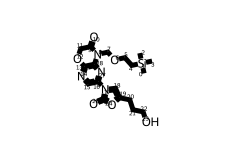 C[Si](C)(C)CCOCN1C(=O)COc2ncc(-n3cc(CCCO)oc3=O)nc21